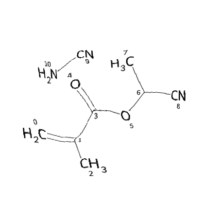 C=C(C)C(=O)OC(C)C#N.N#CN